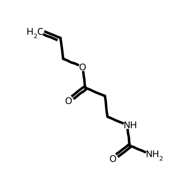 C=CCOC(=O)CCNC(N)=O